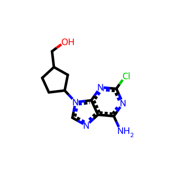 Nc1nc(Cl)nc2c1ncn2C1CCC(CO)C1